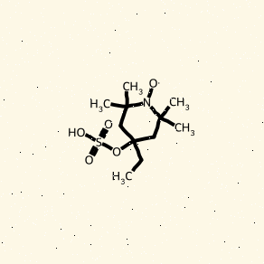 CCC1(OS(=O)(=O)O)CC(C)(C)N([O])C(C)(C)C1